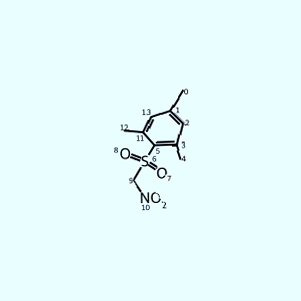 Cc1cc(C)c(S(=O)(=O)C[N+](=O)[O-])c(C)c1